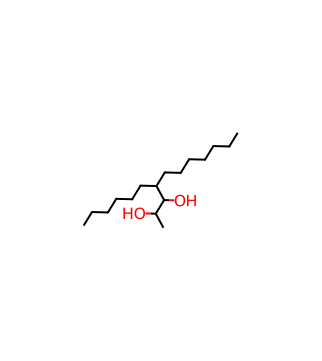 CCCCCCCC(CCCCCC)C(O)C(C)O